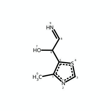 Cc1ncsc1C(O)C=N